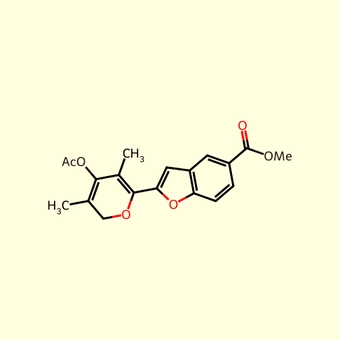 COC(=O)c1ccc2oc(C3=C(C)C(OC(C)=O)=C(C)CO3)cc2c1